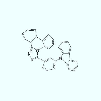 C1=CC2c3ccccc3-n3c(-c4cccc(-n5c6ccccc6c6ccccc65)c4)nnc3C2C=C1